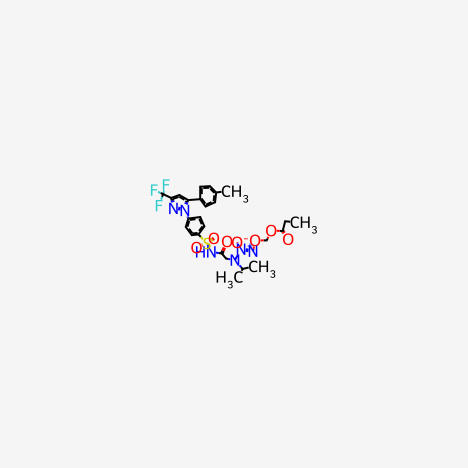 CCC(=O)OCON=[N+]([O-])N(CC(=O)NS(=O)(=O)c1ccc(-n2nc(C(F)(F)F)cc2-c2ccc(C)cc2)cc1)C(C)C